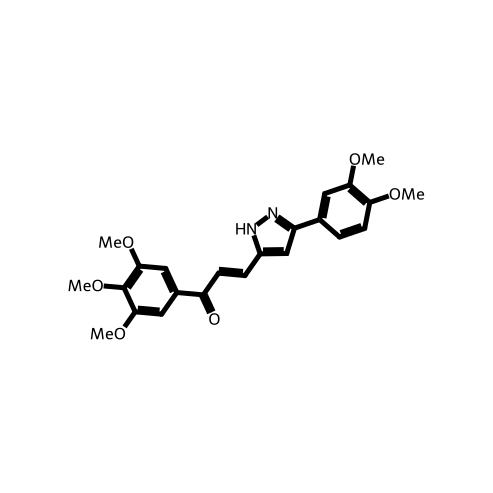 COc1ccc(-c2cc(/C=C/C(=O)c3cc(OC)c(OC)c(OC)c3)[nH]n2)cc1OC